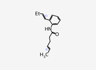 [CH2]C/C=C/c1ccccc1NC(=O)CC/C=C/C